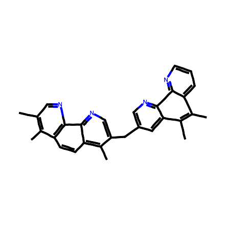 Cc1cnc2c(ccc3c(C)c(Cc4cnc5c(c4)c(C)c(C)c4cccnc45)cnc32)c1C